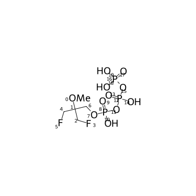 COC(CF)(CF)COP(=O)(O)OP(=O)(O)OP(=O)(O)O